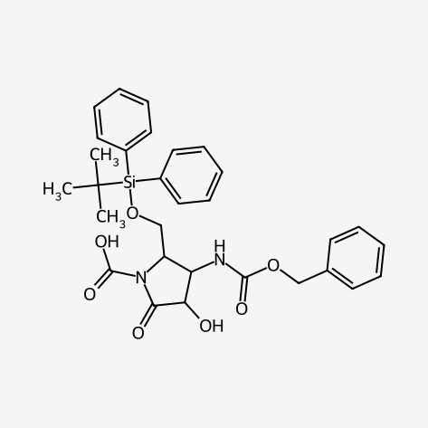 CC(C)(C)[Si](OCC1C(NC(=O)OCc2ccccc2)C(O)C(=O)N1C(=O)O)(c1ccccc1)c1ccccc1